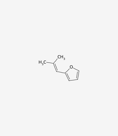 CC(C)=Cc1ccco1